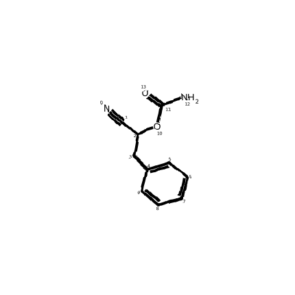 N#CC(Cc1ccccc1)OC(N)=O